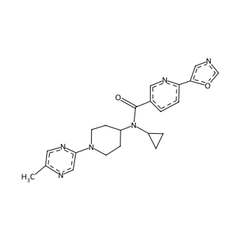 Cc1cnc(N2CCC(N(C(=O)c3ccc(-c4cnco4)nc3)C3CC3)CC2)cn1